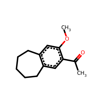 COc1cc2c(cc1C(C)=O)CCCCC2